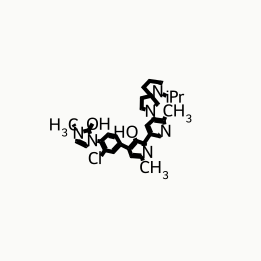 Cc1cc(-c2ccc(N3C=CN(C)C3O)c(Cl)c2)c(O)c(-c2cnc(C)c(N3CCC4(CCCN4C(C)C)C3)c2)n1